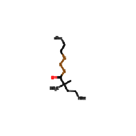 CCCCCCCCCCCCSSSC(=O)C(C)(CCCCCCCCCCCC)C(=O)O